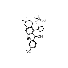 CC(C)c1nc2c(c(C3=CCCC3)c1C(O)c1ccc(C#N)cc1)[C@H](O[Si](C)(C)C(C)(C)C)CC(C)(C)C2